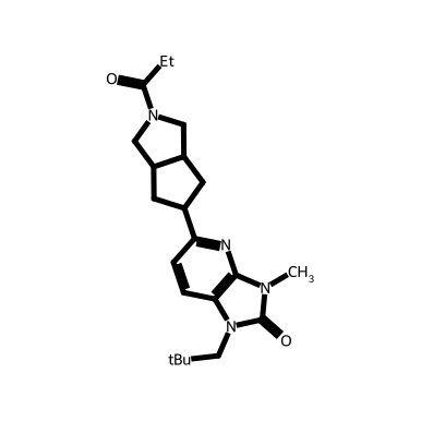 CCC(=O)N1CC2CC(c3ccc4c(n3)n(C)c(=O)n4CC(C)(C)C)CC2C1